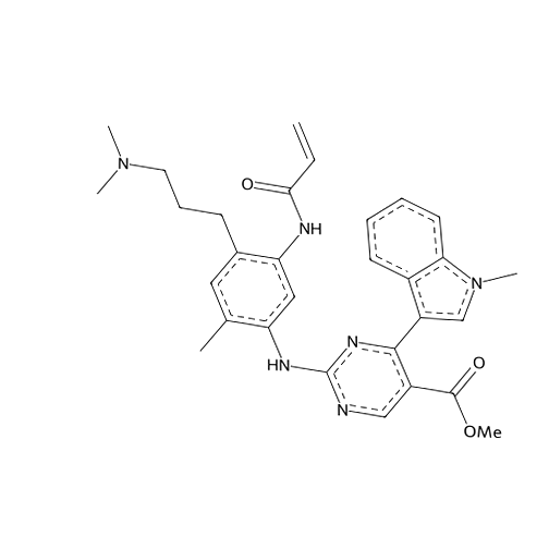 C=CC(=O)Nc1cc(Nc2ncc(C(=O)OC)c(-c3cn(C)c4ccccc34)n2)c(C)cc1CCCN(C)C